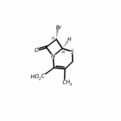 CC1=C(C(=O)O)N2C(=O)[C@H](Br)[C@H]2SC1